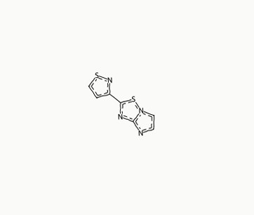 c1cn2sc(-c3ccsn3)nc2n1